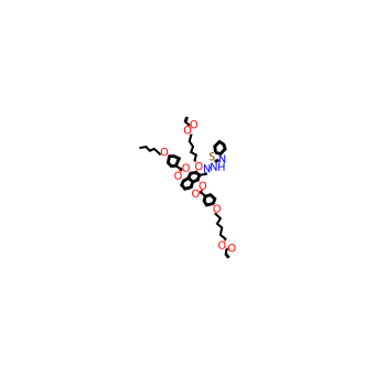 C=CC(=O)OCCCCCCOc1ccc(C(=O)Oc2c(/C=N/Nc3nc4ccccc4s3)c(OCCCCCCOC(=O)C=C)c(OC(=O)c3ccc(OCCCCC)cc3)c3ccccc23)cc1